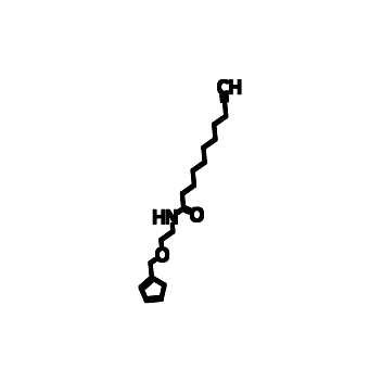 C#CCCCCCCCCC(=O)NCCOCC1=CC=CC1